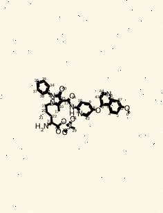 COc1ccc2c(Oc3ccc(NC(=O)c4c(C)n(C[C@@H](C)CC(N)C(=O)OS(C)(=O)=O)n(-c5ccccc5)c4=O)nc3)ccnc2c1